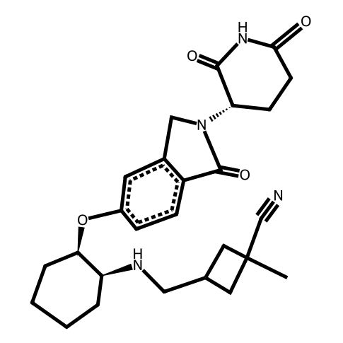 CC1(C#N)CC(CN[C@H]2CCCC[C@H]2Oc2ccc3c(c2)CN([C@H]2CCC(=O)NC2=O)C3=O)C1